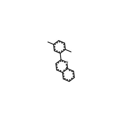 Cc1ccc(C)c(-c2ccc3ccccc3n2)c1